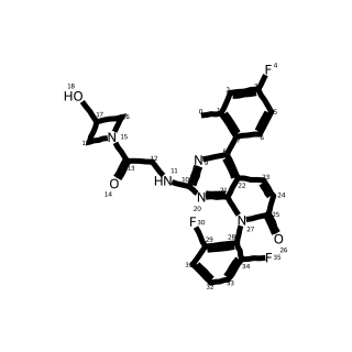 Cc1cc(F)ccc1-c1nc(NCC(=O)N2CC(O)C2)nc2c1ccc(=O)n2-c1c(F)cccc1F